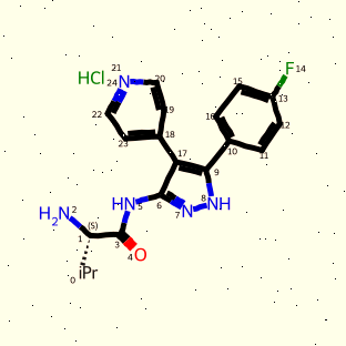 CC(C)[C@H](N)C(=O)Nc1n[nH]c(-c2ccc(F)cc2)c1-c1ccncc1.Cl